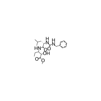 CCC(NC(=O)[C@H](CC(C)C)NC(=O)NCc1ccccc1)C(O)C(=O)OC